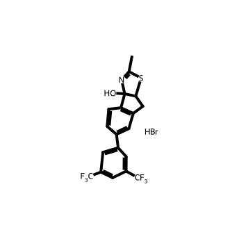 Br.CC1=NC2(O)c3ccc(-c4cc(C(F)(F)F)cc(C(F)(F)F)c4)cc3CC2S1